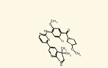 COc1cc(C(=O)N2CCC(OC)C2)c(Cl)cc1Nc1nccc(-c2cnc3c(c2)C(C)(C)CN3)n1